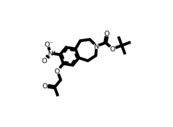 CC(=O)COc1cc2c(cc1[N+](=O)[O-])CCN(C(=O)OC(C)(C)C)CC2